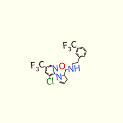 O=C(NCCc1cccc(C(F)(F)F)c1)C1CC=CN1c1ncc(C(F)(F)F)cc1Cl